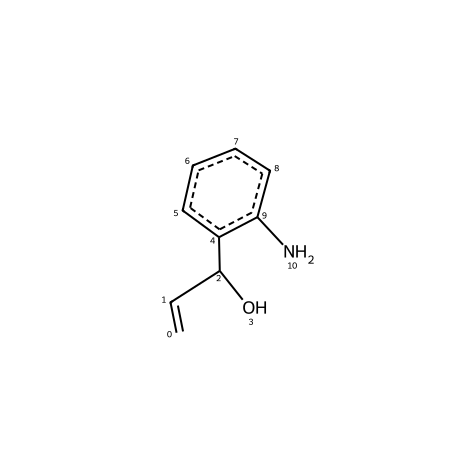 C=CC(O)c1ccccc1N